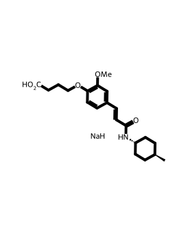 COc1cc(/C=C/C(=O)N[C@H]2CC[C@H](C)CC2)ccc1OCCCC(=O)O.[NaH]